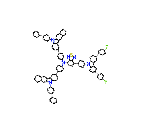 Fc1ccc(-c2ccc3c(c2)c2cc(-c4ccc(F)cc4)ccc2n3-c2ccc(-c3ccc(N(c4ccc(-c5ccc6c(c5)c5cc7ccccc7cc5n6-c5ccc(-c6ccccc6)cc5)cc4)c4ccc(-c5ccc6c(c5)c5cc7ccccc7cc5n6-c5ccc(-c6ccccc6)cc5)cc4)c4nsnc34)cc2)cc1